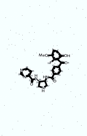 COc1ccc(O)c(C(=O)c2ccc(C(=O)NC3CNC[C@H]3NC(=O)c3ccncn3)cc2)c1F